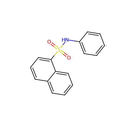 O=S(=O)(Nc1cc[c]cc1)c1cccc2ccccc12